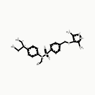 Cc1noc(C)c1OCc1ccc(S(=O)(=O)N(CC(C)C)c2ccc(C(CO)CO)cc2)cc1